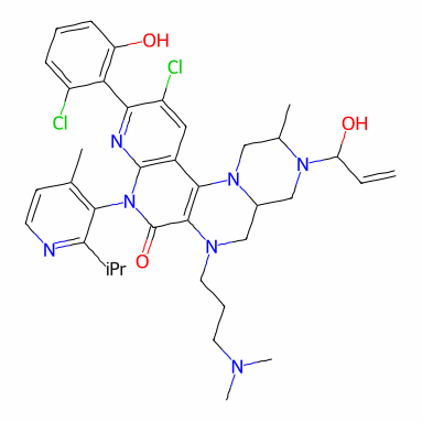 C=CC(O)N1CC2CN(CCCN(C)C)c3c(c4cc(Cl)c(-c5c(O)cccc5Cl)nc4n(-c4c(C)ccnc4C(C)C)c3=O)N2CC1C